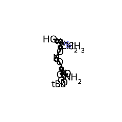 C=C(/C=C\C=C/C)[C@H]1CCc2cc(O)ccc2[C@H]1c1ccc(OCCCN2CCCC(OCCc3ccc4c(c3)CN([C@@H](CCC(=O)OC(C)(C)C)C(N)=O)C4=O)C2)cc1